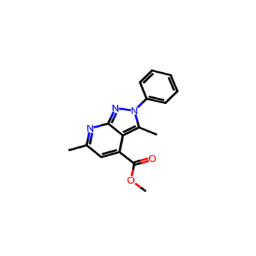 COC(=O)c1cc(C)nc2nn(-c3ccccc3)c(C)c12